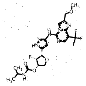 COCc1cn2c(Nc3cc([C@@H]4OC[C@H](OC(=O)NC(C)C)[C@@H]4F)[nH]n3)ncc(C(F)(F)F)c2n1